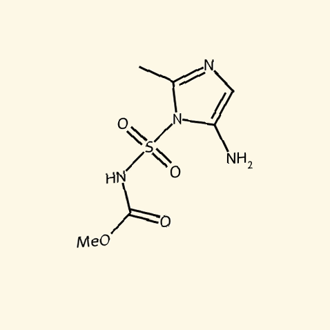 COC(=O)NS(=O)(=O)n1c(N)cnc1C